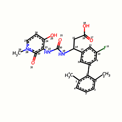 Cc1cccc(C)c1-c1cc(F)cc(C(CC(=O)O)NC(=O)Nc2c(O)ccn(C)c2=O)c1